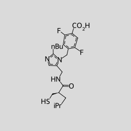 CCCCc1ncc(CNC(=O)[C@H](CS)CC(C)C)n1Cc1cc(F)c(C(=O)O)cc1F